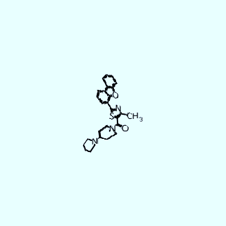 Cc1nc(-c2cccc3c2oc2ccccc23)sc1C(=O)N1CCC(N2CCCCC2)CC1